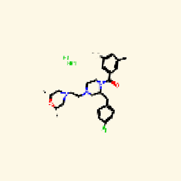 Cc1cc(C(=O)N2CCN(CCN3C[C@@H](C)O[C@@H](C)C3)CC2Cc2ccc(Cl)cc2)cc(C(F)(F)F)c1.Cl.Cl